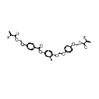 C=C(F)C(=O)OCOc1ccc(OCOc2ccc(OC(=O)c3ccc(OCOC(=O)C(=C)F)cc3)cc2C)cc1